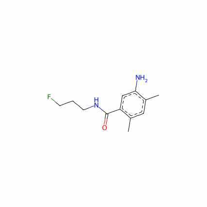 Cc1cc(C)c(C(=O)NCCCF)cc1N